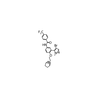 Cn1ncc(Br)c1-c1cc(NC(=O)c2ccc(C(F)(F)F)cc2)ccc1OCCN1C2CCC1CC2